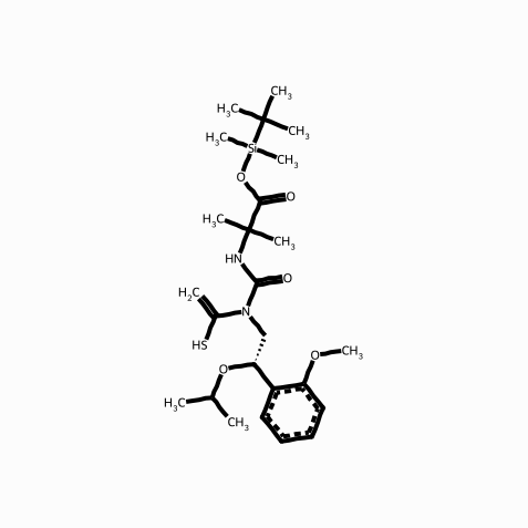 C=C(S)N(C[C@@H](OC(C)C)c1ccccc1OC)C(=O)NC(C)(C)C(=O)O[Si](C)(C)C(C)(C)C